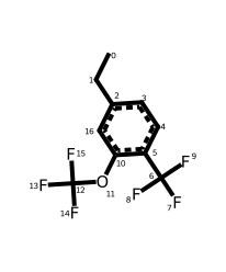 CCc1ccc(C(F)(F)F)c(OC(F)(F)F)c1